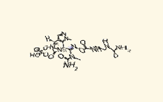 CN(C(N)=O)/C(=N\OC(=O)NCCNC(N)=O)[C@@H]1c2c(cnn2C)[C@@H]2CN1C(=O)N2OS(=O)(=O)O